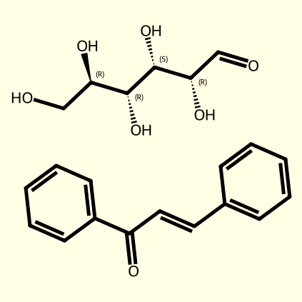 O=C(C=Cc1ccccc1)c1ccccc1.O=C[C@H](O)[C@@H](O)[C@H](O)[C@H](O)CO